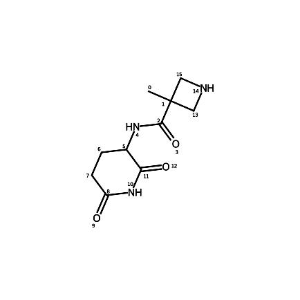 CC1(C(=O)NC2CCC(=O)NC2=O)CNC1